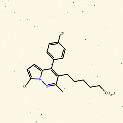 CCOC(=O)CCCCCc1c(C)nn2c(CC)ccc2c1-c1ccc(C#N)cc1